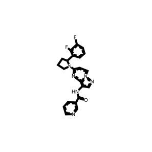 O=C(Nc1cnn2ccc(N3CCCC3c3cccc(F)c3F)nc12)c1cccnc1